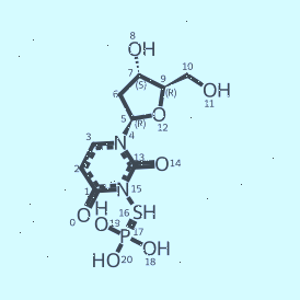 O=c1ccn([C@H]2C[C@H](O)[C@@H](CO)O2)c(=O)n1[SH]=P(O)(O)O